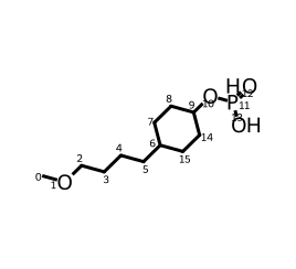 COCCCCC1CCC(O[PH](=O)O)CC1